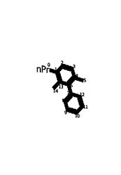 CCCc1ccc(C)c(-c2ccccc2)c1C